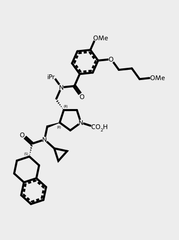 COCCCOc1cc(C(=O)N(C[C@@H]2CN(C(=O)O)C[C@H]2CN(C(=O)[C@H]2CCc3ccccc3C2)C2CC2)C(C)C)ccc1OC